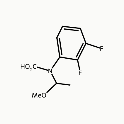 COC(C)N(C(=O)O)c1cccc(F)c1F